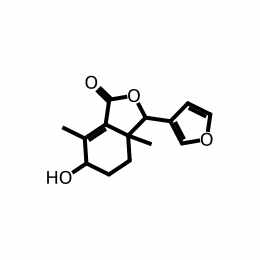 CC1=C2C(=O)OC(c3ccoc3)C2(C)CCC1O